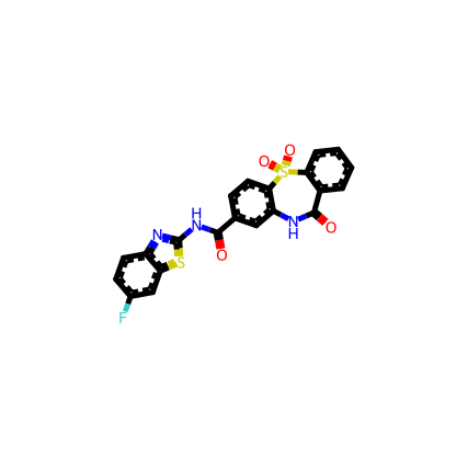 O=C(Nc1nc2ccc(F)cc2s1)c1ccc2c(c1)NC(=O)c1ccccc1S2(=O)=O